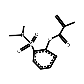 C=C(C)C(=O)Oc1ccccc1S(=O)(=O)N(C)C